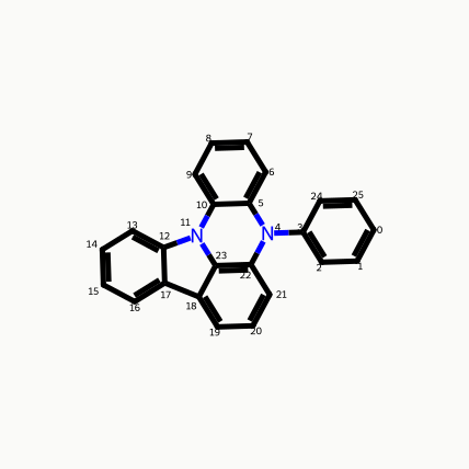 c1ccc(N2c3ccccc3-n3c4ccccc4c4cccc2c43)cc1